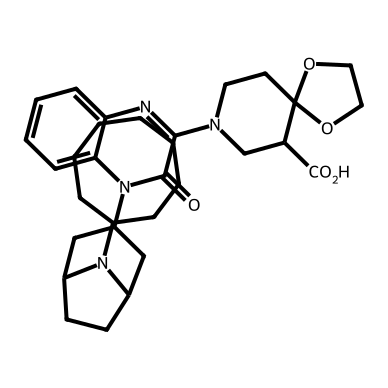 O=C(O)C1CN(c2nc3ccccc3n(C3CC4CCC(C3)N4C3CCCCCCC3)c2=O)CCC12OCCO2